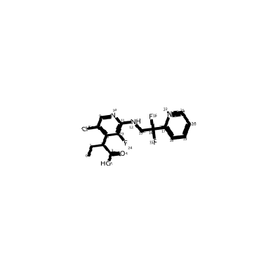 CCC(C(=O)O)c1c(Cl)cnc(NCC(F)(F)c2ccccn2)c1F